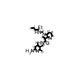 C=C/C=C(\CC)NCn1cc(C(=O)NCc2c(C)cc(N)nc2C)c2ncccc21